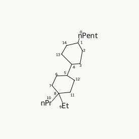 CCCCCC1CCC(C2CCC(CC)(CCC)CC2)CC1